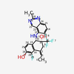 C/C=C1/C[C@](O)(C(F)(F)F)[C@@H](Nc2cccc3nc(C)ncc23)c2ccc(O)c(F)c21